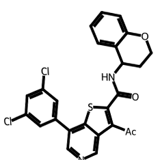 CC(=O)c1c(C(=O)NC2CCOc3ccccc32)sc2c(-c3cc(Cl)cc(Cl)c3)cncc12